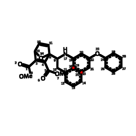 COC(=O)C1=C(C(=O)OC)C2(C(Cc3ccccc3)Nc3cccc(Oc4ccccc4)c3)C=CC1O2